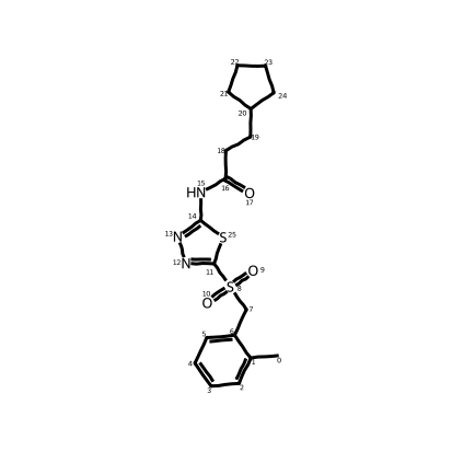 Cc1ccccc1CS(=O)(=O)c1nnc(NC(=O)CCC2CCCC2)s1